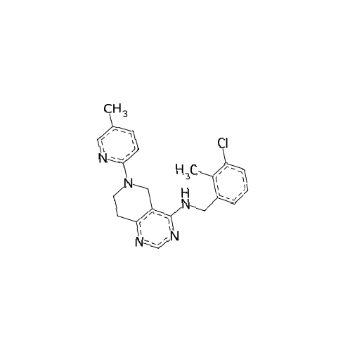 Cc1ccc(N2CCc3ncnc(NCc4cccc(Cl)c4C)c3C2)nc1